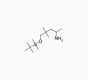 CC(N)CC(C)(C)CO[Si](C)(C)C(C)(C)C